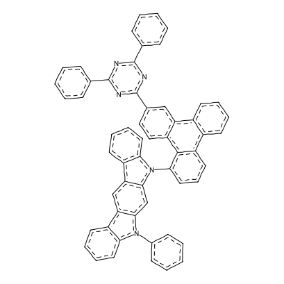 c1ccc(-c2nc(-c3ccccc3)nc(-c3ccc4c(c3)c3ccccc3c3cccc(-n5c6ccccc6c6cc7c8ccccc8n(-c8ccccc8)c7cc65)c34)n2)cc1